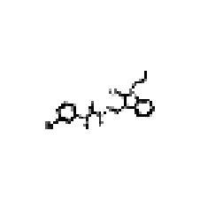 CCCn1c(Cl)c(C=NNC(=O)Nc2cccc(Br)c2)c2ccccc21